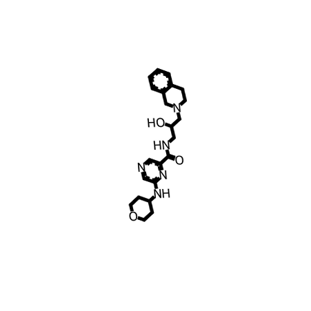 O=C(NCC(O)CN1CCc2ccccc2C1)c1cncc(NC2CCOCC2)n1